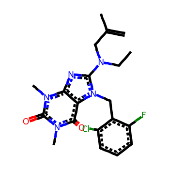 C=C(C)CN(CC)c1nc2c(c(=O)n(C)c(=O)n2C)n1Cc1c(F)cccc1Cl